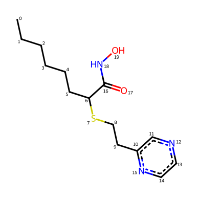 CCCCCCC(SCCc1cnccn1)C(=O)NO